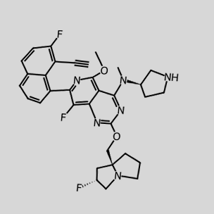 C#Cc1c(F)ccc2cccc(-c3nc(OC)c4c(N(C)[C@@H]5CCNC5)nc(OC[C@@]56CCCN5C[C@H](F)C6)nc4c3F)c12